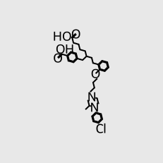 CC1CN(CCCCOc2ccccc2CCC(CCCCC(=O)O)Cc2ccc(C(=O)O)cc2)CCN1c1ccc(Cl)cc1